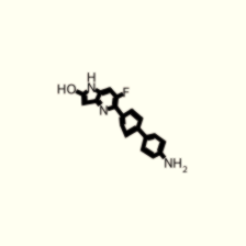 Nc1ccc(-c2ccc(-c3nc4cc(O)[nH]c4cc3F)cc2)cc1